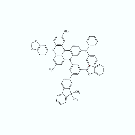 Cc1cc2c3c(c1)N(c1cc(-c4ccc5c(c4)C(C)(C)c4ccccc4-5)cc(-c4cc5ccccc5o4)c1)c1cc(N(c4ccccc4)c4ccccc4)ccc1B3c1cc(C(C)(C)C)ccc1N2c1ccc2c(c1)OCO2